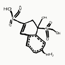 Nc1ccc2c(c1)C(O)(S(=O)(=O)O)CC(S(=O)(=O)O)=C2